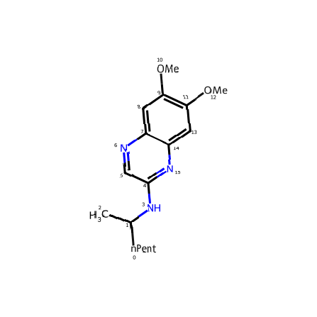 CCCCCC(C)Nc1cnc2cc(OC)c(OC)cc2n1